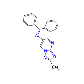 Cc1nc2ncc(N=C(c3ccccc3)c3ccccc3)cn2n1